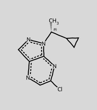 C[C@H](C1CC1)n1ncc2ncc(Cl)nc21